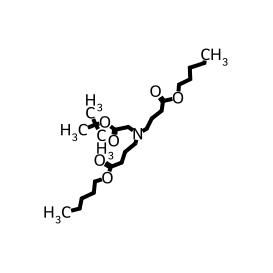 CCCCCOC(=O)CCCN(CCCC(=O)OCCCCC)CC(=O)OC(C)(C)C